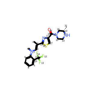 C/C(=C\N(C)c1ccccc1C(F)(F)F)c1nc(C(=O)N2CCN[C@@H](C)C2)cs1